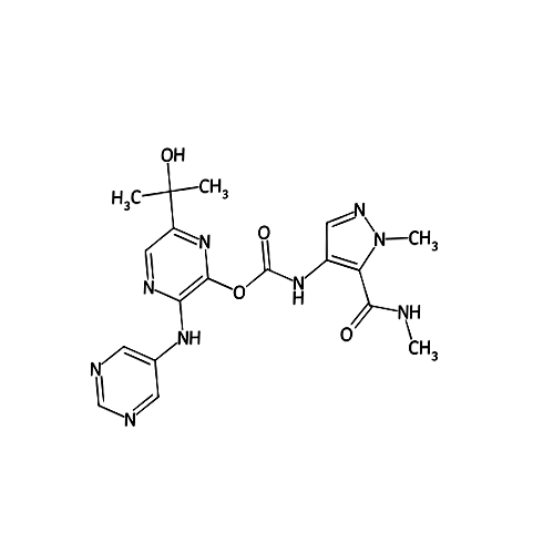 CNC(=O)c1c(NC(=O)Oc2nc(C(C)(C)O)cnc2Nc2cncnc2)cnn1C